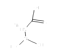 CN(C)NC(=S)S.[Ni]